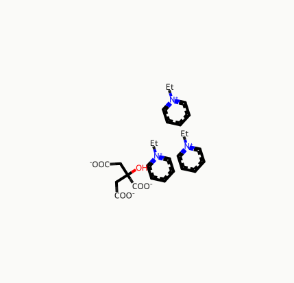 CC[n+]1ccccc1.CC[n+]1ccccc1.CC[n+]1ccccc1.O=C([O-])CC(O)(CC(=O)[O-])C(=O)[O-]